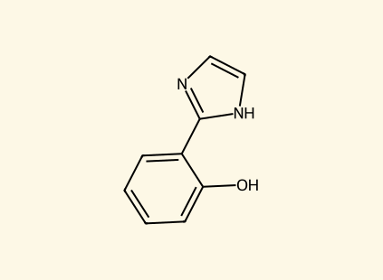 Oc1ccccc1-c1ncc[nH]1